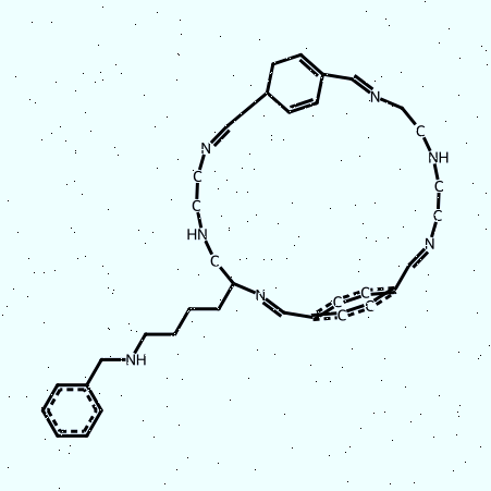 C1=CC2/C=N/CCNCC(CCCCNCc3ccccc3)/N=C/c3ccc(cc3)/C=N/CCNCC/N=C/C1=CC2